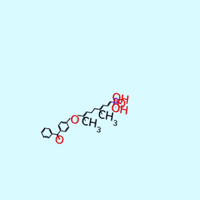 C/C(=C\C=C\P(=O)(O)O)CC/C=C(\C)COCc1ccc(C(=O)c2ccccc2)cc1